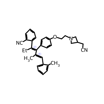 CC/C(=C(\C(C)=C\c1ccccc1C)c1ccc(OCCN2CC(CC#N)C2)cc1)c1ccccc1C#N